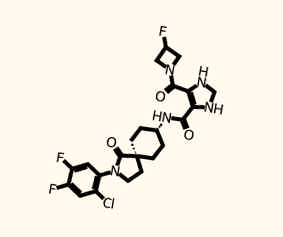 O=C(N[C@H]1CC[C@@]2(CCN(c3cc(F)c(F)cc3Cl)C2=O)CC1)C1=C(C(=O)N2CC(F)C2)NCN1